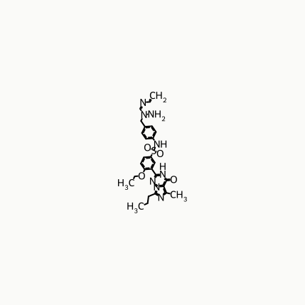 C=C/N=C\N(N)Cc1ccc(NS(=O)(=O)c2ccc(OCC)c(-c3nn4c(CCC)nc(C)c4c(=O)[nH]3)c2)cc1